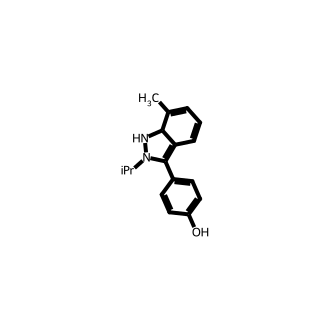 CC1=CC=CC2=C(c3ccc(O)cc3)N(C(C)C)NC12